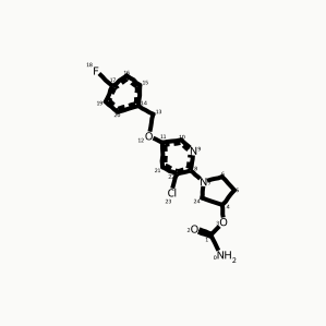 NC(=O)OC1CCN(c2ncc(OCc3ccc(F)cc3)cc2Cl)C1